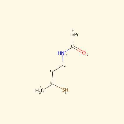 CCCC(=O)NCCC(C)S